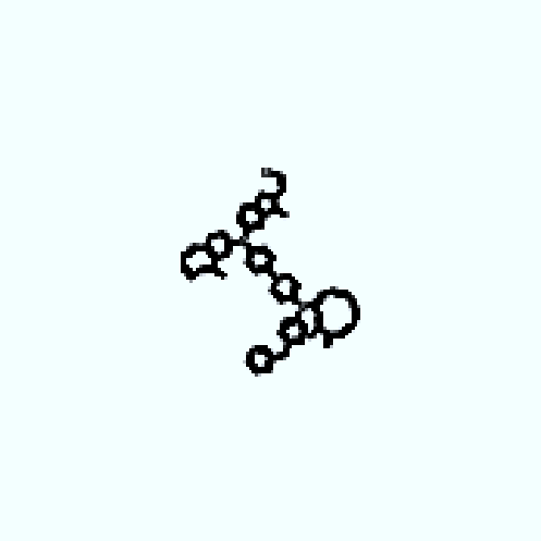 C=C1\C=C/C=C\C=C/C=C(N(C2=CCC(c3ccc(N(C4=CC5=C(\C=C/C=C\C=C5/C)CC4)c4ccc5c(c4)C(C)=C(/C=C\CC)C5)cc3)C=C2)c2ccc(Cc3ccccc3)cc2)\C=C\1C